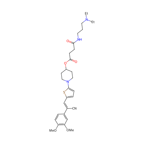 CCN(CC)CCCNC(=O)CCC(=O)OC1CCN(c2ccc(/C=C(\C#N)c3ccc(OC)c(OC)c3)s2)CC1